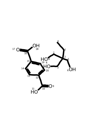 CCC(CO)(CO)CO.O=C(O)c1ccc(C(=O)O)cc1